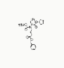 CC(C)C[C@@H](C(=O)OC1CCCC1)N(CCCC(=O)OCc1ccccc1)C(=O)OC(C)(C)C